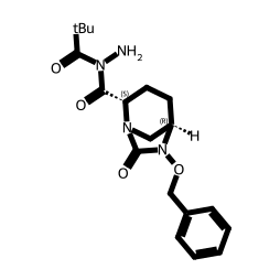 CC(C)(C)C(=O)N(N)C(=O)[C@@H]1CC[C@@H]2CN1C(=O)N2OCc1ccccc1